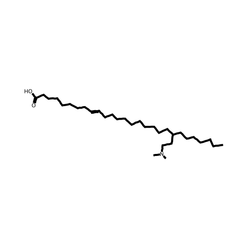 CCCCCCCC(CCCCCCCCCCC=CCCCCCCCC(=O)O)CCN(C)C